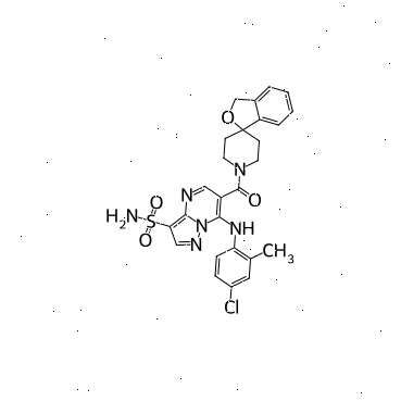 Cc1cc(Cl)ccc1Nc1c(C(=O)N2CCC3(CC2)OCc2ccccc23)cnc2c(S(N)(=O)=O)cnn12